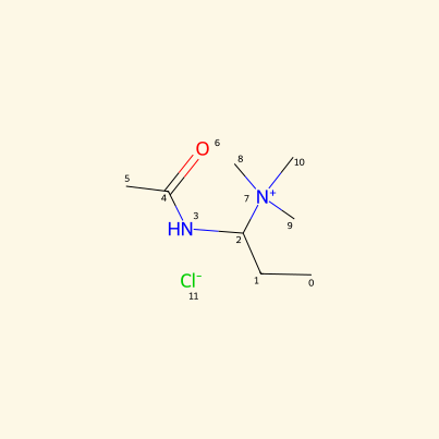 CCC(NC(C)=O)[N+](C)(C)C.[Cl-]